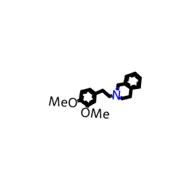 COc1ccc(CCN2CCc3ccccc3C2)cc1OC